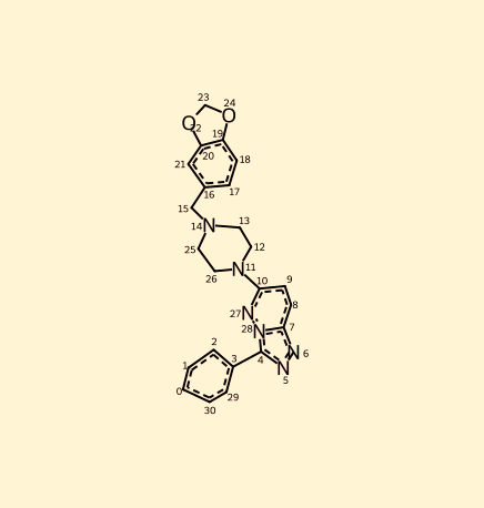 c1ccc(-c2nnc3ccc(N4CCN(Cc5ccc6c(c5)OCO6)CC4)nn23)cc1